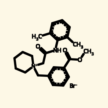 COC(=O)c1cccc(C[N+]2(CC(=O)Nc3c(C)cccc3C)CCCCC2)c1.[Br-]